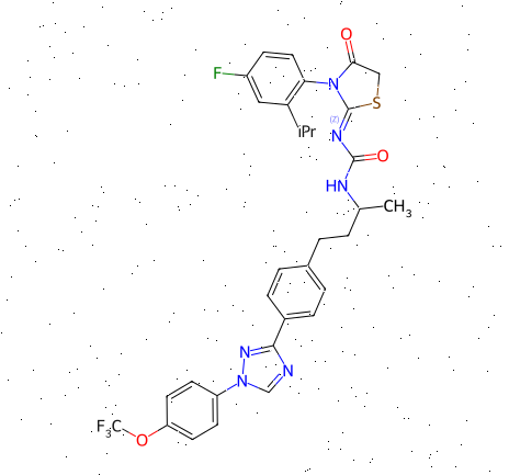 CC(CCc1ccc(-c2ncn(-c3ccc(OC(F)(F)F)cc3)n2)cc1)NC(=O)/N=C1\SCC(=O)N1c1ccc(F)cc1C(C)C